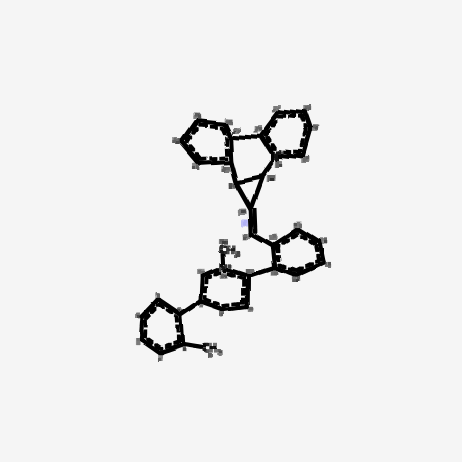 Cc1ccccc1-c1ccc(-c2ccccc2/C=C2/C3c4ccccc4-c4cccc[n+]4C23)[n+](C)c1